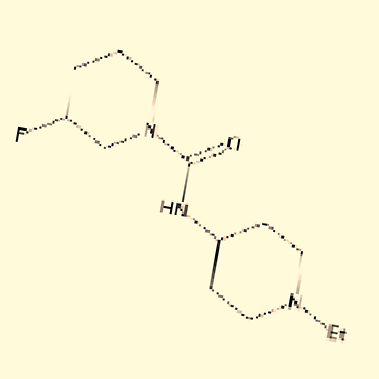 CCN1CCC(NC(=O)N2CCCC(F)C2)CC1